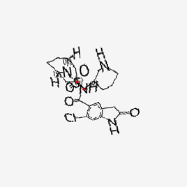 O=C1Cc2cc(C(=O)N[C@@H]3C[C@H]4CC[C@@H](C3)N4S(=O)(=O)C[C@@H]3CCCNC3)c(Cl)cc2N1